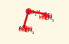 CC(=O)N(CCCCCCCCCCCCCCCCCCCCCCCC(=O)N1OOC2OON(C(=O)CCCCCCCCCCCCCCCCCCCCCCCN(C(C)=O)C(=O)[C@H](O)[C@@H](O)[C@H](O)[C@@H](C)O)C21C(=O)O)C(=O)[C@H](O)[C@@H](O)[C@H](O)[C@@H](C)O